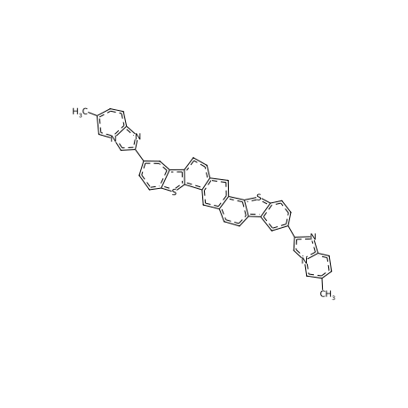 Cc1ccc2nc(-c3ccc4sc5c6cc7ccc8c9cc(-c%10cn%11cc(C)ccc%11n%10)ccc9sc8c7cc6ccc5c4c3)cn2c1